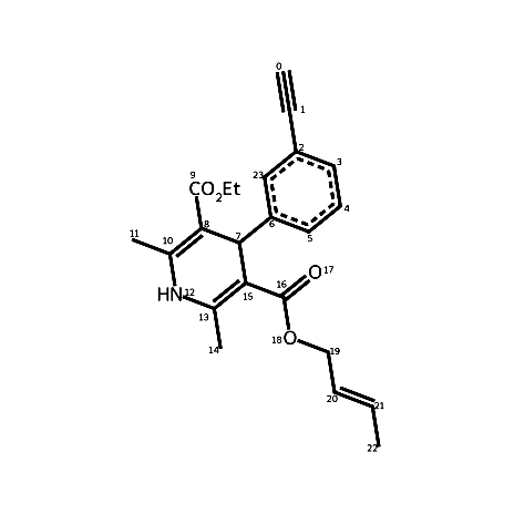 C#Cc1cccc(C2C(C(=O)OCC)=C(C)NC(C)=C2C(=O)OC/C=C/C)c1